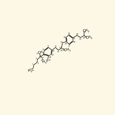 CCCCC(C)(C)c1ccc(CC[C@H](C)Cc2ccc(CCC(C)C)cc2)cc1F